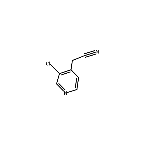 N#CCc1ccncc1Cl